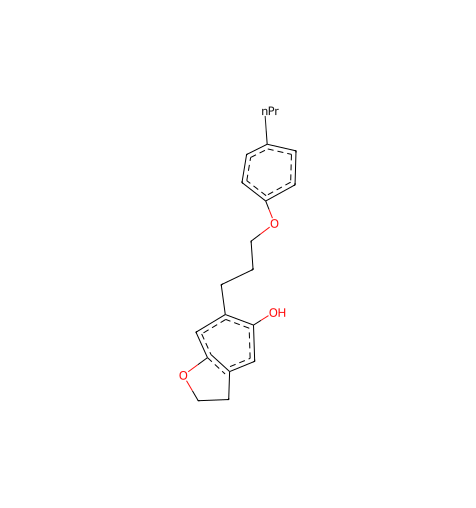 CCCc1ccc(OCCCc2cc3c(cc2O)CCO3)cc1